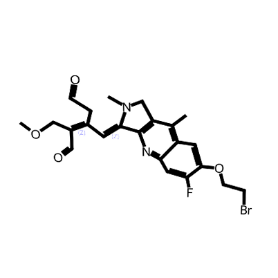 COC/C(C=O)=C(/C=C1/c2nc3cc(F)c(OCCBr)cc3c(C)c2CN1C)CC=O